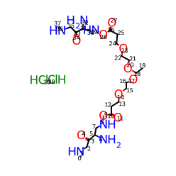 CNCC(=O)C(N)CNOC(=O)CCOCCOC(C)OCCOCCC(=O)ONCC(N)C(=O)CNC.Cl.Cl